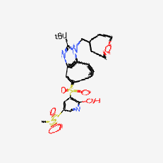 CC(C)(C)c1nc2cc(S(=O)(=O)c3cc(S(C)(=O)=O)cnc3O)ccc2n1CC1CCOCC1